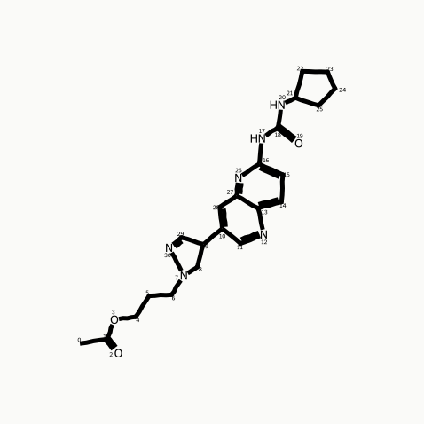 CC(=O)OCCCN1CC(c2cnc3ccc(NC(=O)NC4CCCC4)nc3c2)C=N1